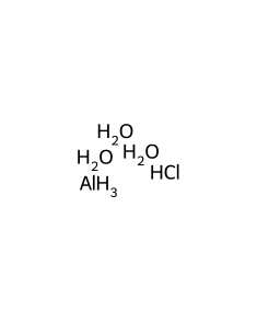 Cl.O.O.O.[AlH3]